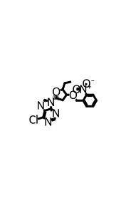 CCC1O[C@@H](n2cnc3c(Cl)ncnc32)CC1OCc1ccccc1[N+](=O)[O-]